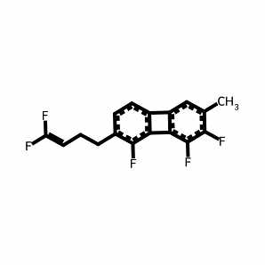 Cc1cc2c(c(F)c1F)-c1c-2ccc(CCC=C(F)F)c1F